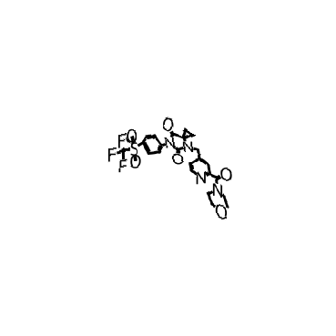 O=C(c1cc(CN2C(=O)N(c3ccc(S(=O)(=O)C(F)(F)F)cc3)C(=O)C23CC3)ccn1)N1CCOCC1